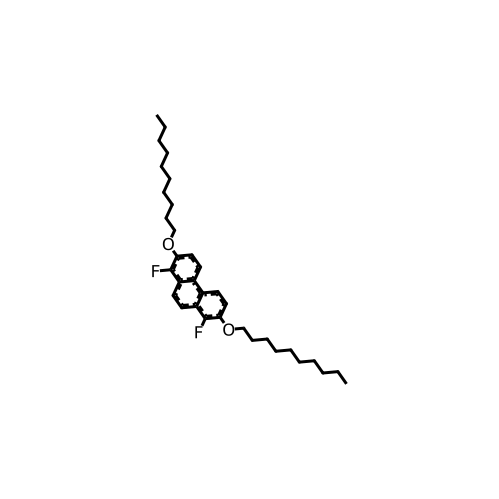 CCCCCCCCCCOc1ccc2c(ccc3c(F)c(OCCCCCCCCCC)ccc32)c1F